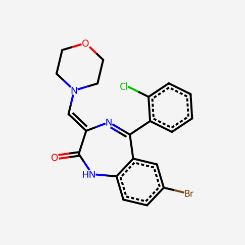 O=C1Nc2ccc(Br)cc2C(c2ccccc2Cl)=NC1=CN1CCOCC1